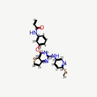 C=CC(=O)Nc1cccc(Oc2nc(Nc3ccc(SC)nc3)nc3ccsc23)c1